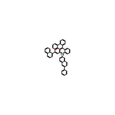 c1ccc(-c2ccc3cc(N(c4cccc(-c5cccc6ccccc56)c4)c4ccccc4-c4cc5ccccc5c5ccccc45)ccc3c2)cc1